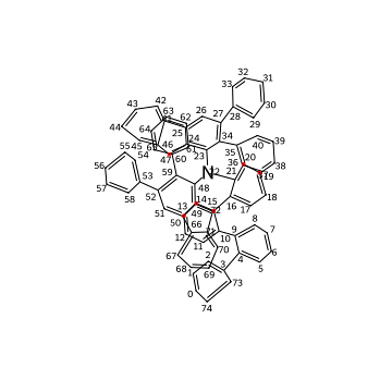 c1ccc(-c2ccccc2-c2ccccc2-c2ccccc2N(c2c3c(cc(-c4ccccc4)c2-c2ccccc2)-c2ccccc2C3)c2c3c(cc(-c4ccccc4)c2-c2ccccc2)-c2ccccc2C3)cc1